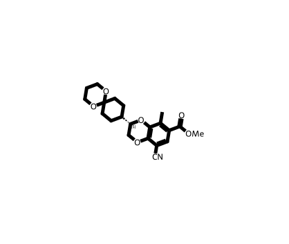 COC(=O)c1cc(C#N)c2c(c1C)O[C@@H](C1CCC3(CC1)OCCCO3)CO2